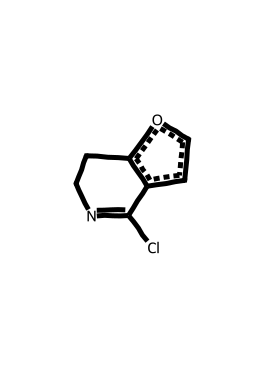 ClC1=NCCc2occc21